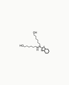 OCCCCCCNN(CCCCCCO)c1nc2ccccc2s1